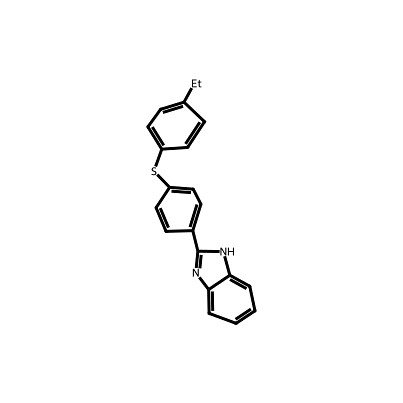 CCc1ccc(Sc2ccc(-c3nc4ccccc4[nH]3)cc2)cc1